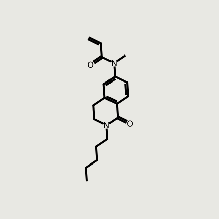 C=CC(=O)N(C)c1ccc2c(c1)CCN(CCCCC)C2=O